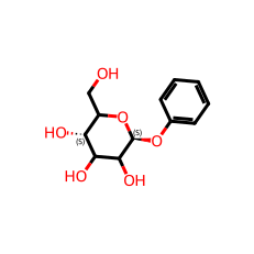 OCC1O[C@@H](Oc2ccccc2)C(O)C(O)[C@@H]1O